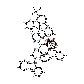 CC(C)(C)c1ccc2c(c1)C1(c3ccccc3-c3ccc(N(c4ccc(-n5c6ccccc6c6ccccc65)cc4)c4ccccc4-c4ccccc4-c4ccccc4-c4ccccc4)cc31)c1cc(C(C)(C)C)ccc1-2